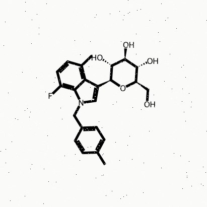 Cc1ccc(Cn2cc([C@@H]3O[C@H](CO)[C@@H](O)[C@H](O)[C@H]3O)c3c(C)ccc(F)c32)cc1